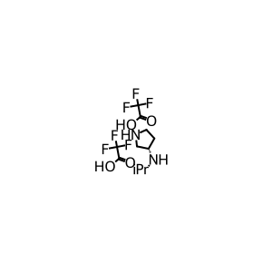 CC(C)N[C@H]1CCNC1.O=C(O)C(F)(F)F.O=C(O)C(F)(F)F